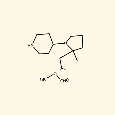 CC(C)(C)OC=O.CC1(CO)CCCN1C1CCNCC1